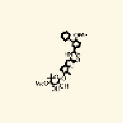 COc1ccc(C(=O)Nc2cc3ccc(O[C@@H]4OC(C)(C)[C@H](OC)[C@@H](O)[C@H]4O)c(C)c3oc2=O)cc1-c1ccccc1